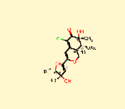 CC[C@H](C)[C@@H](O)[C@@](C)(O)/C=C/C1=CC2=C(Cl)C(=O)[C@](C)(O)[C@H](OC(C)=O)[C@H]2CO1